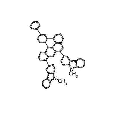 Cn1c2ccccc2c2cc(-c3cccc4c(-c5ccc(-c6ccccc6)cc5-c5ccccc5)c5cccc(-c6ccc7c(c6)c6ccccc6n7C)c5cc34)ccc21